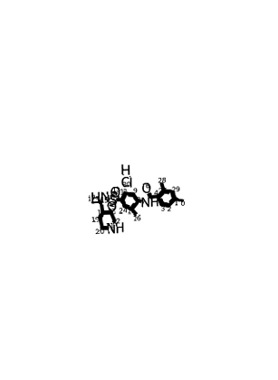 Cc1ccc(C(=O)Nc2ccc(S(=O)(=O)N[C@H](C)C3CCNCC3)cc2C)c(C)c1.Cl